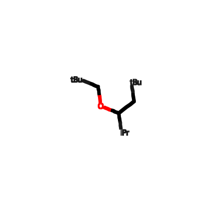 CC(C)C(CC(C)(C)C)OCC(C)(C)C